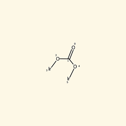 O=C([O][Ir])[O][Ir]